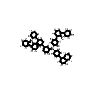 c1cc(-c2ccc(-c3ccccc3-n3c4ccccc4c4ccccc43)cc2)cc(N(c2ccc(-c3cccc4ccccc34)cc2)c2ccc(-c3cccc4c3oc3ccccc34)cc2)c1